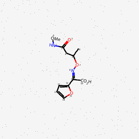 CONC(=O)CC(C)ON=C(C(=O)O)c1ccco1